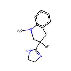 CCCC1(C2=NCCN2)Cc2ccccc2N(C)C1